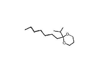 CCCCCCCC1(C(C)C)OCCCO1